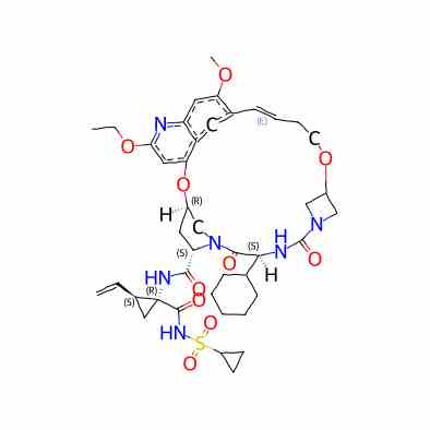 C=C[C@@H]1C[C@]1(NC(=O)[C@@H]1C[C@@H]2CN1C(=O)[C@H](C1CCCCC1)NC(=O)N1CC(C1)OCC/C=C/c1cc3c(cc(OCC)nc3cc1OC)O2)C(=O)NS(=O)(=O)C1CC1